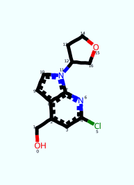 OCc1cc(Cl)nc2c1ccn2C1CCOC1